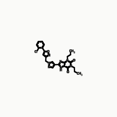 CCCn1c(=O)c2[nH]c(-c3cnn(Cc4cc(-c5ccccc5Cl)on4)c3)nc2n(CCC)c1=O